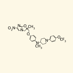 CN(c1ccc(OC[C@@]2(C)Cn3cc([N+](=O)[O-])nc3O2)cc1)C1CCN(c2ccc(OC(F)(F)F)cc2)CC1